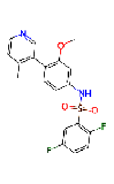 COc1cc(NS(=O)(=O)c2cc(F)ccc2F)ccc1-c1cnccc1C